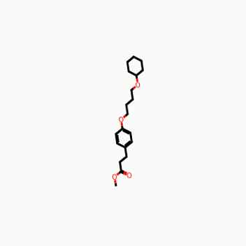 COC(=O)CCc1ccc(OCCCCOC2CCCCC2)cc1